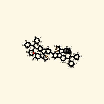 Cc1cc2c(cc1C)[C@]1(c3cc(C(=C(c4ccccc4)c4ccccc4)c4ccccc4)ccc3-c3ccc(-c4ccc5c(c4)[C@]4(c6cc(C(=C(c7ccccc7)c7ccccc7)c7ccccc7)ccc6-5)c5cc(C)c(C)cc5-c5ccsc54)cc31)c1sccc1-2